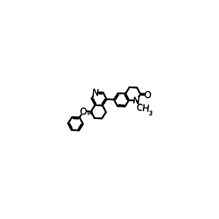 CN1C(=O)CCc2cc(-c3cncc4c3CCC[C@H]4Oc3ccccc3)ccc21